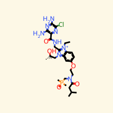 CC[n+]1c(CNC(=O)c2nc(Cl)c(N)nc2N)n(C[C@H](C)O)c2cc(OCCN(CP(C)(C)=O)C(=O)CC(C)C)ccc21